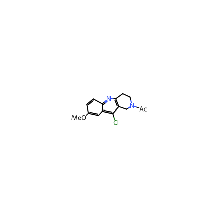 COc1ccc2nc3c(c(Cl)c2c1)CN(C(C)=O)CC3